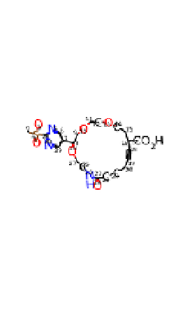 CS(=O)(=O)c1ncc(C2COCCOCCC(C(=O)O)C#CCCCC(=O)NCCO2)cn1